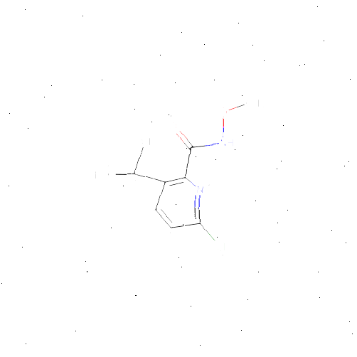 CONC(=O)c1nc(Cl)ccc1C(C)C